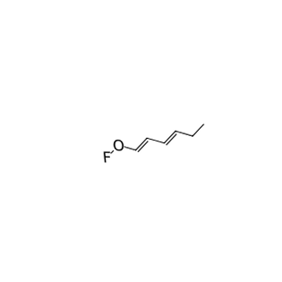 CCC=CC=COF